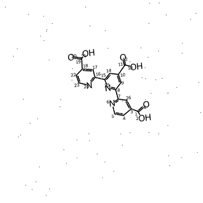 O=C(O)c1ccnc(-c2cc(C(=O)O)cc(-c3cc(C(=O)O)ccn3)n2)c1